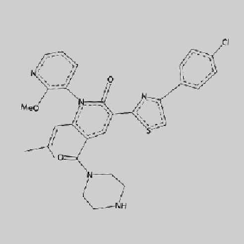 COc1ncccc1-n1c(C=C(C)C)c(C(=O)N2CCNCC2)cc(-c2nc(-c3ccc(Cl)cc3)cs2)c1=O